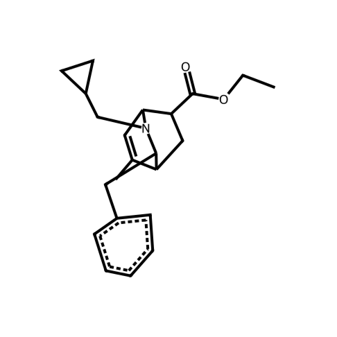 CCOC(=O)C1CC2C(C)=CC1N(CC1CC1)C2Cc1ccccc1